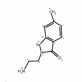 Cc1ccc2c(=O)n(CCN)[se]c2c1